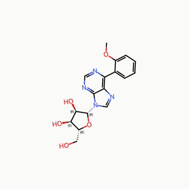 COc1ccccc1-c1ncnc2c1ncn2[C@@H]1O[C@H](CO)[C@@H](O)[C@H]1O